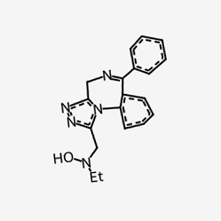 CCN(O)Cc1nnc2n1-c1ccccc1C(c1ccccc1)=NC2